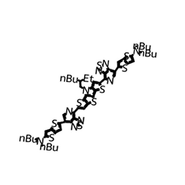 CCCCC(CC)Cn1c2cc(-c3ncc(-c4cc5sc(N(CCCC)CCCC)cc5s4)c4nsnc34)sc2c2sc3cc(-c4ncc(-c5cc6sc(N(CCCC)CCCC)cc6s5)c5nsnc45)sc3c21